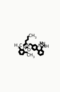 CCCCc1cn(-c2c(CC)cccc2CC)c(=O)n1Cc1ccc(-c2ccccc2-c2nnn[nH]2)cc1